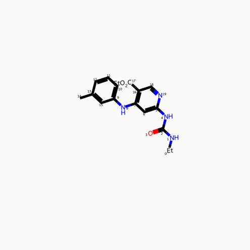 CCNC(=O)Nc1cc(Nc2cccc(C)c2)c(C(=O)OCC)cn1